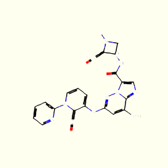 CNc1cc(NC2=CC=CN(c3ccccn3)C2=C=O)nn2c(C(=O)N[C@@H]3CN(C)C3=C=O)cnc12